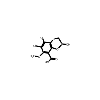 COc1c(Cl)c(Cl)c2c(c1C(=O)O)OB(O)CO2